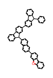 c1ccc(C2c3ccccc3-c3cc(-c4ccc5c(c4)C(c4ccc6cc(-c7ccc8c(c7)oc7ccccc78)ccc6c4)c4ccccc4-5)ccc32)cc1